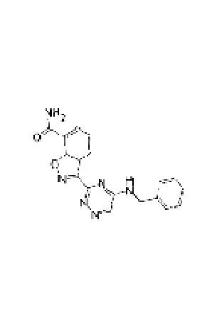 NC(=O)C1=CC=CC2C(c3nncc(NCc4ccccc4)n3)=NOC12